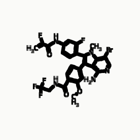 C=C(F)C(=O)Nc1ccc(-c2c(-c3ccc(C(=O)NCC(F)(F)F)c(OC)c3)c3c(N)ncc(Br)c3n2C)c(F)c1